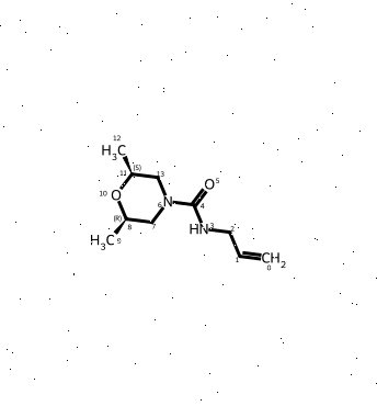 C=CCNC(=O)N1C[C@@H](C)O[C@@H](C)C1